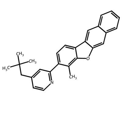 Cc1c(-c2cc(CC(C)(C)C)ccn2)ccc2c1oc1cc3ccccc3cc12